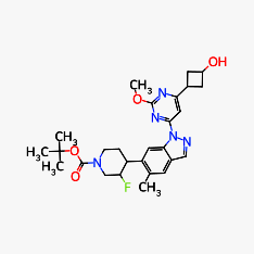 COc1nc(C2CC(O)C2)cc(-n2ncc3cc(C)c(C4CCN(C(=O)OC(C)(C)C)CC4F)cc32)n1